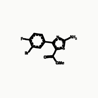 COC(=O)c1sc(N)nc1-c1ccc(F)c(Br)c1